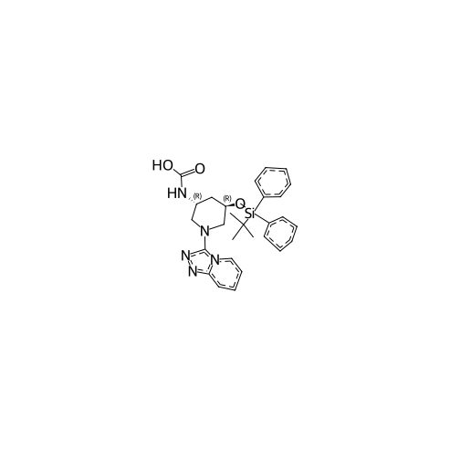 CC(C)(C)[Si](O[C@@H]1C[C@@H](NC(=O)O)CN(c2nnc3ccccn23)C1)(c1ccccc1)c1ccccc1